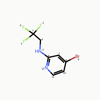 FC(F)(F)CNc1cc(Br)ccn1